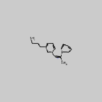 C/C(=C/c1cccc(CCCN)c1)c1ccccc1